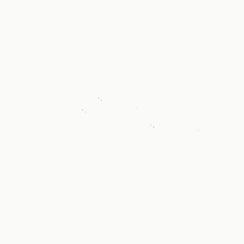 CN(C)CCNC(=O)c1nn2c3ccccc3c(=O)c3cccc1c32